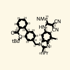 CCCc1nc2c(C)cc(NC(NC)=C(C#N)C#N)cc2n1Cc1ccc(-c2ccccc2C(=O)OC(C)(C)C)cc1